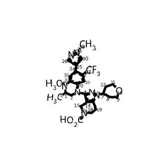 CC1CN(c2nn(C3CCOCC3)c3c2CN(C(=O)O)CC3)c2cc(C(F)(F)F)c(-c3cnn(C)c3)cc2N1C